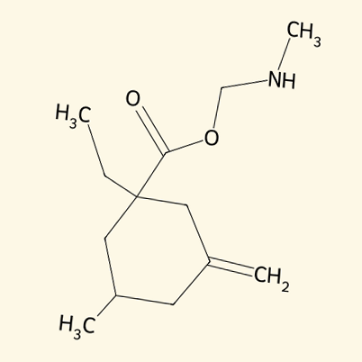 C=C1CC(C)CC(CC)(C(=O)OCNC)C1